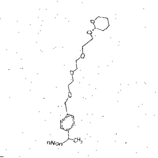 CCCCCCCCCC(C)c1ccc(COCCOCCOCCOC2CCCCO2)cc1